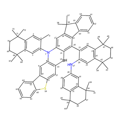 Cc1cc2c(cc1N1c3cc4c(cc3Bc3c1cc1c(c3-c3cc5c(cc3Nc3ccc6c(c3)C(C)(C)CCC6(C)C)C(C)(C)CCC5(C)C)-c3ccccc3C1(C)C)sc1ccccc14)C(C)(C)CCC2(C)C